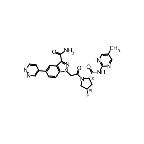 Cc1cnc(NC(=O)[C@@H]2C[C@@H](F)CN2C(=O)Cn2nc(C(N)=O)c3cc(-c4ccnnc4)ccc32)nc1